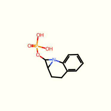 O=P(O)(O)OC1C2CCc3ccccc3N21